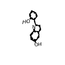 Oc1ccc2nc(-c3ccccc3O)ccc2c1